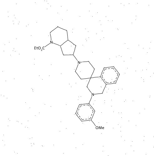 CCOC(=O)N1CCCC2CC(N3CCC4(CC3)CN(c3cccc(OC)c3)Cc3ccccc34)CC21